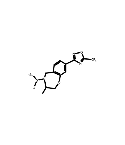 CC1COc2cc(-c3noc(C(F)(F)F)n3)ccc2CN1[S+]([O-])C(C)(C)C